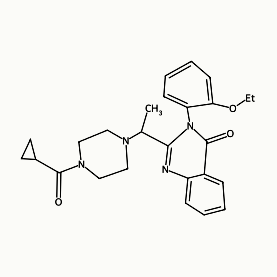 CCOc1ccccc1-n1c(C(C)N2CCN(C(=O)C3CC3)CC2)nc2ccccc2c1=O